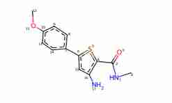 CNC(=O)c1sc(-c2ccc(OC)cc2)cc1N